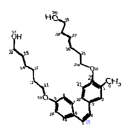 Cc1cc(/C=C\c2ccc(OCCCCCCO)cc2)ccc1OCCCCCCO